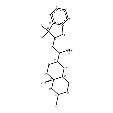 CCCC(CC1Cc2ccccc2C1(C)C)C1CC[C@H]2CC(I)CCC2C1